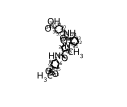 Cc1cc(C(=O)Nc2ccc(S(C)(=O)=O)cc2)c(C)n1-c1ccccc1C(=O)N[C@H]1CC[C@@H](C(=O)O)CC1